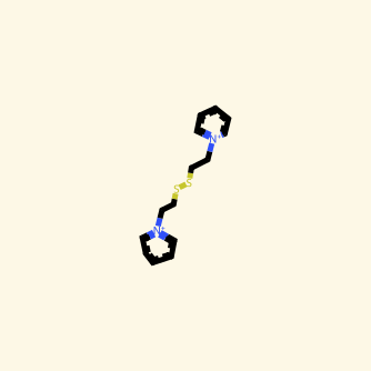 c1cc[n+](CCSSCC[n+]2ccccc2)cc1